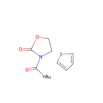 CCCCC(=O)N1CCOC1=O.c1ccsc1